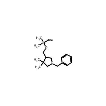 CC1(C)CN(Cc2ccccc2)CC1CO[Si](C)(C)C(C)(C)C